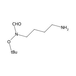 CC(C)(C)ON(C=O)CCCCN